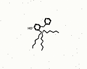 CCCCCC[N+](CCCCCC)(CCCCCC)c1ccccc1Cc1ccccc1.[OH-]